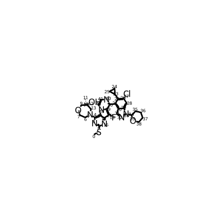 CSc1nc(N2CCOC[C@@](C)(O)C2)c2c(n1)c(F)c1c(-c3c(C4CC4)c(Cl)cc4c3cnn4C3CCCCO3)nccn12